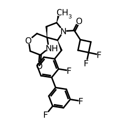 C[C@@H]1C[C@@]2(COCC(=O)N2)[C@H](Cc2cccc(-c3cc(F)cc(F)c3)c2F)N1C(=O)C1CC(F)(F)C1